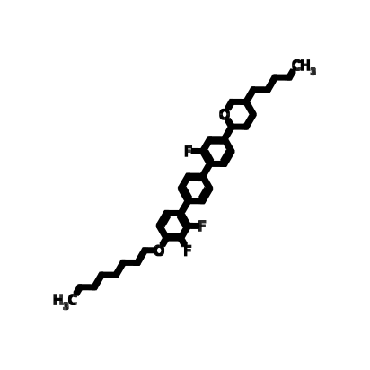 CCCCCCCCOc1ccc(-c2ccc(-c3ccc(C4CCC(CCCCC)CO4)cc3F)cc2)c(F)c1F